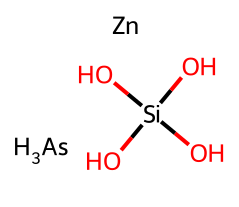 O[Si](O)(O)O.[AsH3].[Zn]